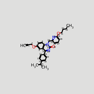 C#CCOc1ccc2c(c1)c(-c1ccc(C(C)C)cc1)nc(=O)n2Cc1cccc(OCCCC)n1